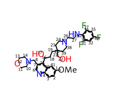 COc1ccc2ncc(CN3CCOCC3)c(C(O)CCC3(CO)CCN(CCNc4c(F)cc(F)cc4F)CC3)c2c1